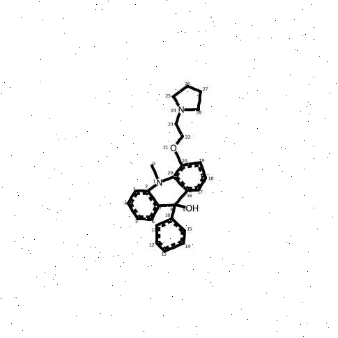 CN1c2ccccc2C(O)(c2ccccc2)c2cccc(OCCN3CCCC3)c21